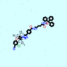 CC1(C)C(Oc2ccc(C#N)c(Cl)c2)C(C)(C)C1n1cc(-c2ccc(C(=O)NCCCCCC(=O)NOC(c3ccccc3)(c3ccccc3)c3ccccc3)cc2)nn1